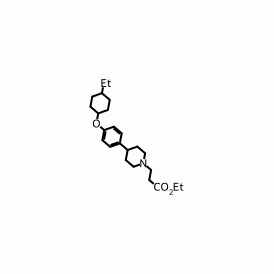 CCOC(=O)CCN1CCC(c2ccc(OC3CCC(CC)CC3)cc2)CC1